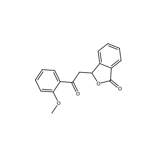 COc1ccccc1C(=O)CC1OC(=O)c2ccccc21